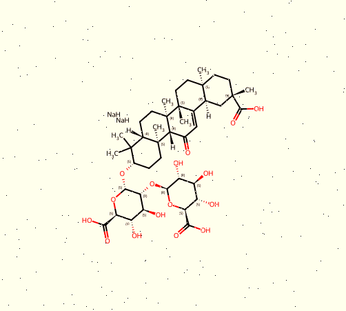 CC1(C)[C@@H](O[C@H]2O[C@H](C(=O)O)[C@@H](O)[C@H](O)[C@H]2O[C@@H]2O[C@H](C(=O)O)[C@@H](O)[C@H](O)[C@H]2O)CC[C@]2(C)[C@H]3C(=O)C=C4[C@@H]5C[C@@](C)(C(=O)O)CC[C@]5(C)CC[C@@]4(C)[C@]3(C)CC[C@@H]12.[NaH].[NaH]